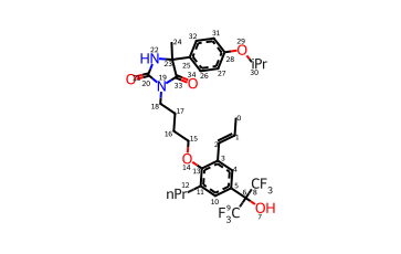 CC=Cc1cc(C(O)(C(F)(F)F)C(F)(F)F)cc(CCC)c1OCCCCN1C(=O)NC(C)(c2ccc(OC(C)C)cc2)C1=O